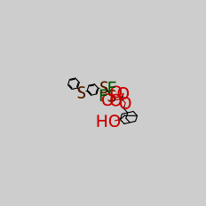 O=C(OCC12CC3CC(CC(O)(C3)C1)C2)OS(=O)(=O)C(F)(F)Sc1ccc(Sc2ccccc2)cc1